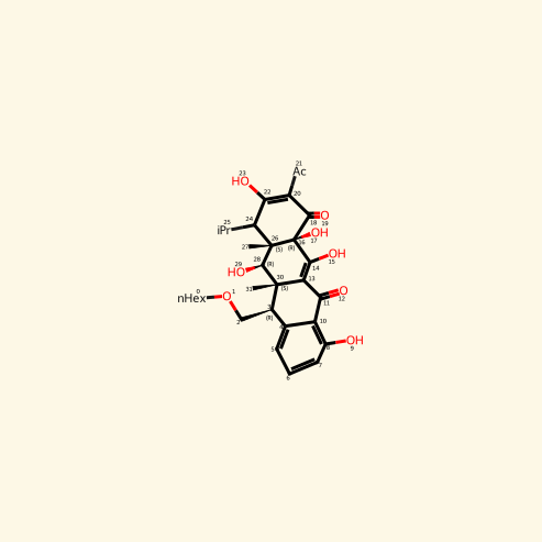 CCCCCCOC[C@@H]1c2cccc(O)c2C(=O)C2=C(O)[C@@]3(O)C(=O)C(C(C)=O)=C(O)C(C(C)C)[C@@]3(C)[C@H](O)[C@]21C